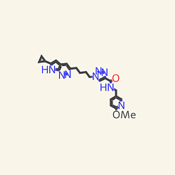 COc1ccc(CNC(=O)c2cn(CCCCc3cc4cc(C5CC5)[nH]c4nn3)nn2)cn1